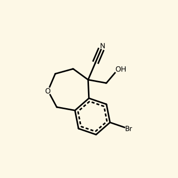 N#CC1(CO)CCOCc2ccc(Br)cc21